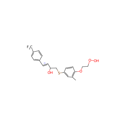 Cc1cc(SCC(O)/C=C/c2ccc(C(F)(F)F)cc2)ccc1OCCOO